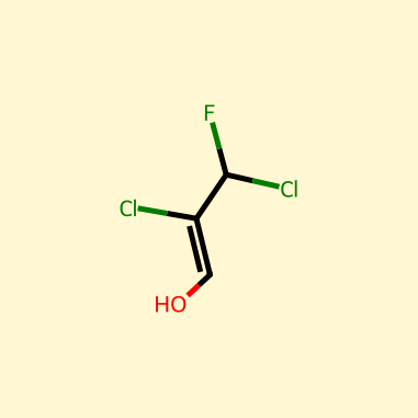 OC=C(Cl)C(F)Cl